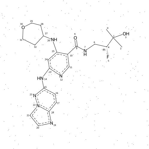 CC(C)(O)[C@H](F)CNC(=O)c1cnc(Nc2ccc3nccn3n2)cc1NC1CCOCC1